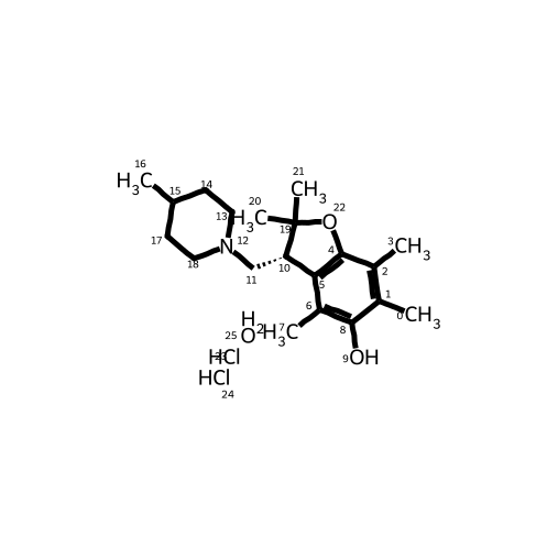 Cc1c(C)c2c(c(C)c1O)[C@H](CN1CCC(C)CC1)C(C)(C)O2.Cl.Cl.O